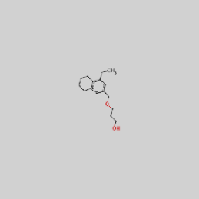 CCc1cc(COCCCO)cc2c1CCCC2